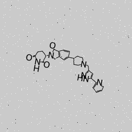 O=C1CCC(N2Cc3cc(C4CCN(Cc5cc(-c6ccccn6)[nH]n5)CC4)ccc3C2=O)C(=O)N1